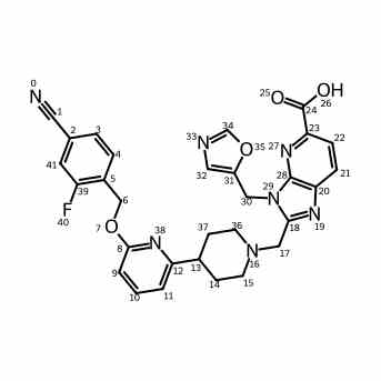 N#Cc1ccc(COc2cccc(C3CCN(Cc4nc5ccc(C(=O)O)nc5n4Cc4cnco4)CC3)n2)c(F)c1